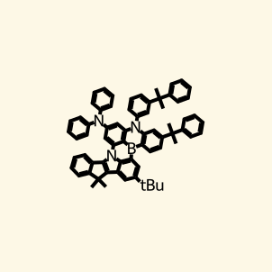 CC(C)(C)c1cc2c3c(c1)c1c(n3-c3cc(N(c4ccccc4)c4ccccc4)cc4c3B2c2ccc(C(C)(C)c3ccccc3)cc2N4c2cccc(C(C)(C)c3ccccc3)c2)-c2ccccc2C1(C)C